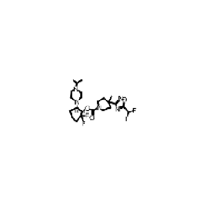 CC(C)N1CCN([C@H]2CCCC(F)(F)[C@@H]2OC(=O)N2CCC(C)(c3noc(C(F)F)n3)CC2)CC1